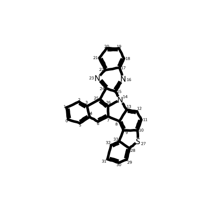 c1ccc2c(c1)cc1c3c4c(ccc3n3c5nc6ccccc6nc5c2c13)sc1ccccc14